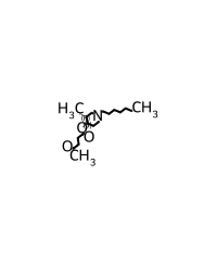 CCCCCCCN1CC[C@H](OC(=O)CCC(C)=O)[C@H](CC)C1